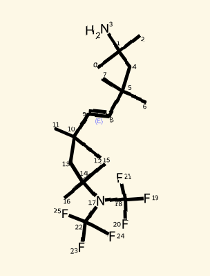 CC(C)(N)CC(C)(C)/C=C/C(C)(C)CC(C)(C)N(C(F)(F)F)C(F)(F)F